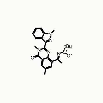 CC(=N[S@+]([O-])C(C)(C)C)c1cc(C)cc2c(=O)n(C)c(-c3nn(C)c4ccccc34)nc12